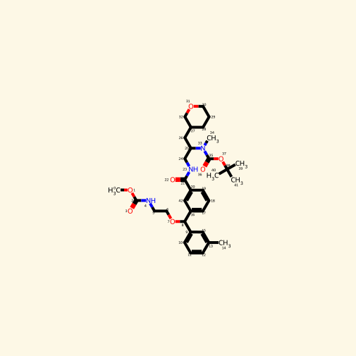 COC(=O)NCCOC(c1cccc(C)c1)c1cccc(C(=O)NCC(CC2CCCOC2)N(C)C(=O)OC(C)(C)C)c1